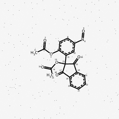 CC(=O)Oc1ccc(N=O)cc1C1(OC(C)=O)C(=O)c2ccccc2C1=O